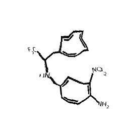 Nc1ccc(NC(c2ccccc2)C(F)(F)F)cc1[N+](=O)[O-]